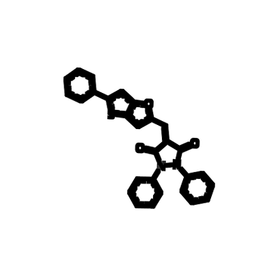 O=C1C(=Cc2cc3sc(-c4ccccc4)cc3o2)C(=O)N(c2ccccc2)N1c1ccccc1